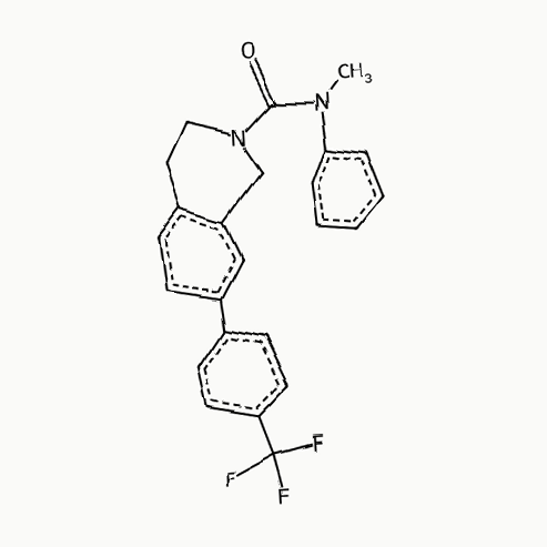 CN(C(=O)N1CCc2ccc(-c3ccc(C(F)(F)F)cc3)cc2C1)c1ccccc1